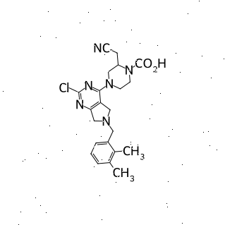 Cc1cccc(CN2Cc3nc(Cl)nc(N4CCN(C(=O)O)C(CC#N)C4)c3C2)c1C